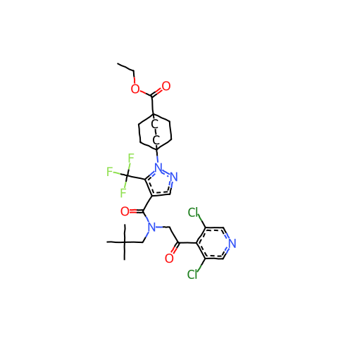 CCOC(=O)C12CCC(n3ncc(C(=O)N(CC(=O)c4c(Cl)cncc4Cl)CC(C)(C)C)c3C(F)(F)F)(CC1)CC2